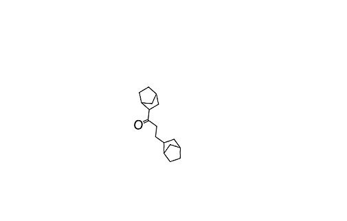 O=C(CCC1CC2CCC1C2)C1CC2CCC1C2